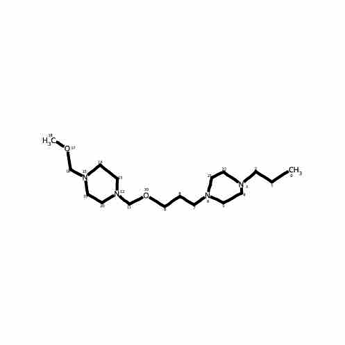 CCCN1CCN(CCCOCN2CCN(COC)CC2)CC1